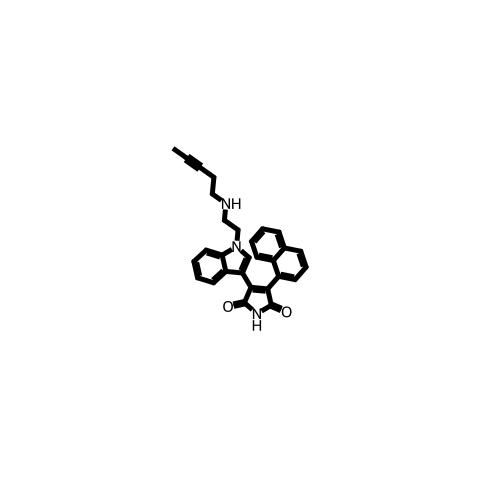 CC#CCCNCCn1cc(C2=C(c3cccc4ccccc34)C(=O)NC2=O)c2ccccc21